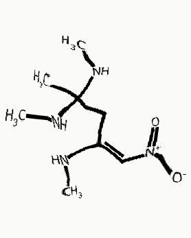 CNC(=C[N+](=O)[O-])CC(C)(NC)NC